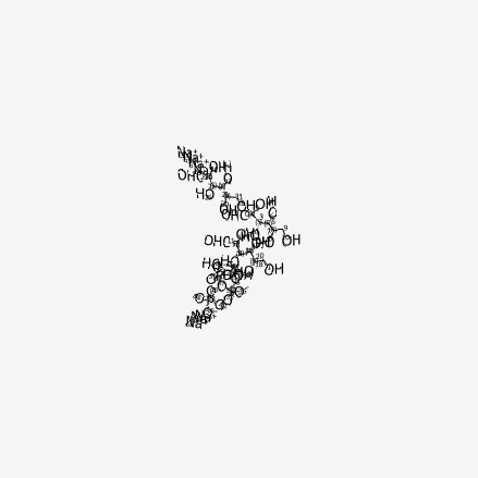 O=C[C@H](O)[C@@H](O)[C@H](O)[C@H](O)CO.O=C[C@H](O)[C@@H](O)[C@H](O)[C@H](O)CO.O=C[C@H](O)[C@@H](O)[C@H](O)[C@H](O)CO.O=P([O-])([O-])OP(=O)([O-])[O-].O=P([O-])([O-])[O-].O=S(=O)(O)O.[Na+].[Na+].[Na+].[Na+].[Na+].[Na+].[Na+]